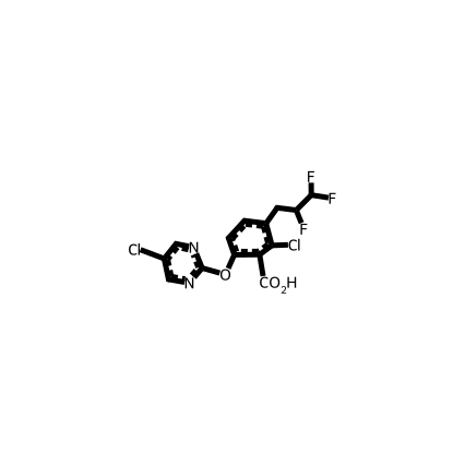 O=C(O)c1c(Oc2ncc(Cl)cn2)ccc(CC(F)C(F)F)c1Cl